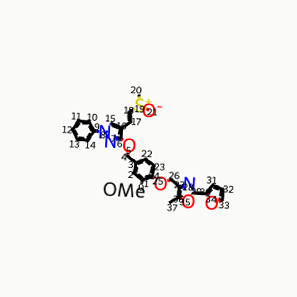 COc1cc(COc2nn(-c3ccccc3)cc2/C=C/[S+](C)[O-])ccc1OCc1nc(-c2ccco2)oc1C